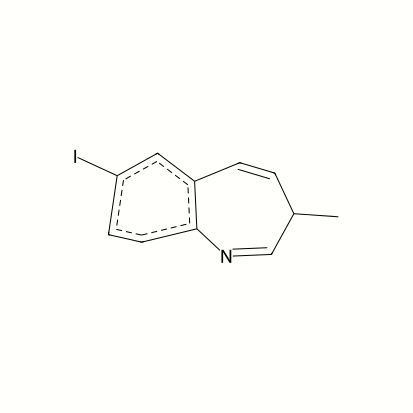 CC1C=Cc2cc(I)ccc2N=C1